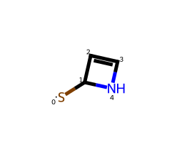 [S]C1C=CN1